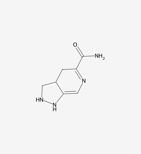 NC(=O)C1=NC=C2NNCC2C1